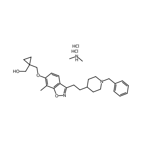 CNC.Cc1c(OCC2(CO)CC2)ccc2c(CCC3CCN(Cc4ccccc4)CC3)noc12.Cl.Cl